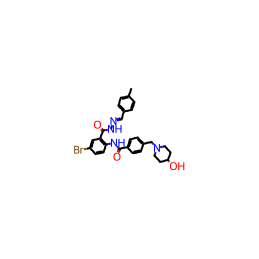 Cc1ccc(C=NNC(=O)c2cc(Br)ccc2NC(=O)c2ccc(CN3CCC(O)CC3)cc2)cc1